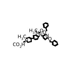 CC1C=C(c2ccc3c(c2)n(C)c(=O)n3-c2ccc(OCc3ccccc3)nc2OCc2ccccc2)CCN1CC(=O)O